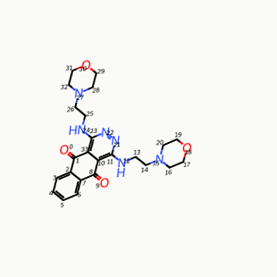 O=C1c2ccccc2C(=O)c2c(NCCN3CCOCC3)nnc(NCCN3CCOCC3)c21